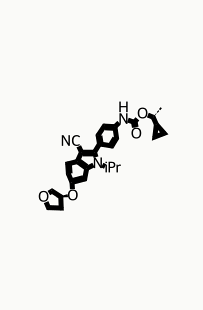 CC(C)n1c(-c2ccc(NC(=O)O[C@H](C)C3CC3)cc2)c(C#N)c2ccc(O[C@H]3CCOC3)cc21